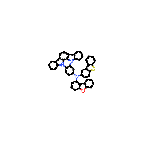 c1ccc2c(c1)oc1cccc(N(c3ccc4sc5ccccc5c4c3)c3ccc4c(c3)n3c5ccccc5c5ccc6c7ccccc7n4c6c53)c12